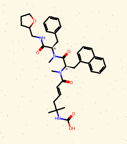 CN(C(=O)C=CCC(C)(C)NC(=O)O)[C@H](Cc1cccc2ccccc12)C(=O)N(C)[C@H](Cc1ccccc1)C(=O)NCC1CCCO1